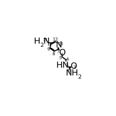 NC(=O)NCCOc1ccc(N)cn1